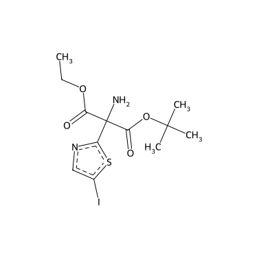 CCOC(=O)C(N)(C(=O)OC(C)(C)C)c1ncc(I)s1